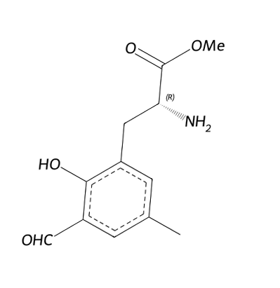 COC(=O)[C@H](N)Cc1cc(C)cc(C=O)c1O